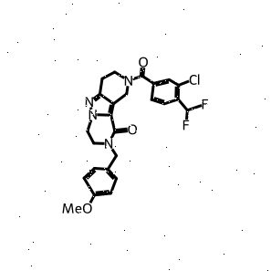 COc1ccc(CN2CCn3nc4c(c3C2=O)CN(C(=O)c2ccc(C(F)F)c(Cl)c2)CC4)cc1